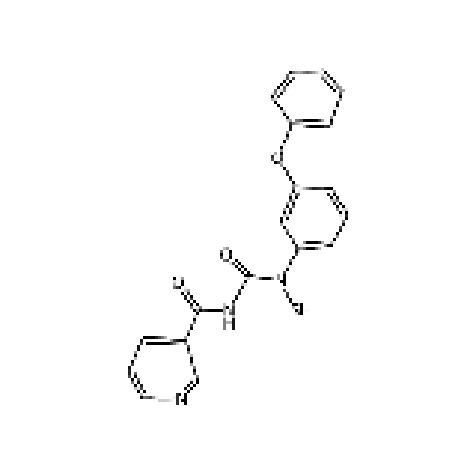 O=C(NC(=O)N(S)c1cccc(Oc2ccccc2)c1)c1cccnc1